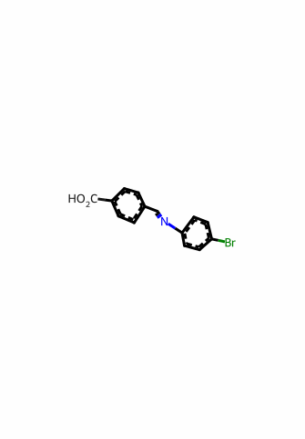 O=C(O)c1ccc(C=Nc2ccc(Br)cc2)cc1